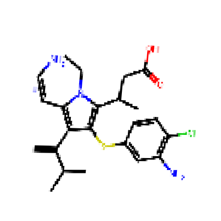 C=C(c1c(Sc2ccc(Cl)c(N)c2)c(C(C)CC(=O)O)n(CC)c1/C=C\N)C(C)C